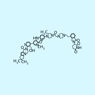 C[C@H]1CN(C(=O)CN2CCN(CCc3cccc4c3CN(C3CCC(=O)NC3=O)C4=O)CC2)CCN1c1ccc(Nc2cc(-c3ccnc(N4CCn5c(cc6c5CC(C)(C)C6)C4=O)c3CO)cn(C)c2=O)nc1